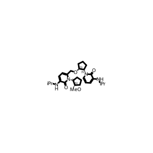 CO[C@H]1CCC[C@H]1n1c(CO[C@H]2CCC[C@@H]2n2cccc(NC(C)C)c2=O)ccc(NC(C)C)c1=O